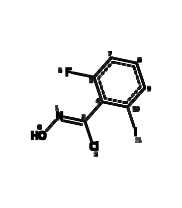 ON=C(Cl)c1c(F)cccc1I